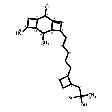 CCC(C)C(C)(O)CC1CCC1CCCCCC1C=C2C(C)C3CC(O)C3C(N)C21